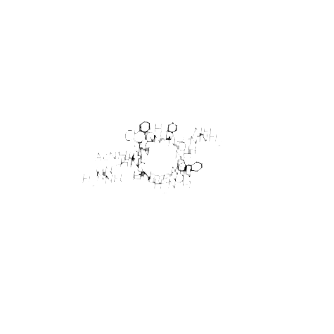 CC(=O)N[C@@H](CCCNC(=N)N)C(=O)N[C@H]1CC(=O)NCCCC[C@@H](C(N)=O)NC(=O)[C@H](Cc2c[nH]c3ccccc23)NC(=O)[C@H](CCCNC(=N)N)NC(=O)[C@@H](Cc2ccccc2)NC(=O)CN(C[C@@H](C)Cc2ccccc2Cl)C1=O